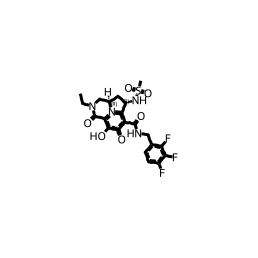 CCN1C[C@H]2C[C@@H](NS(C)(=O)=O)c3c(C(=O)NCc4ccc(F)c(F)c4F)c(=O)c(O)c(n32)C1=O